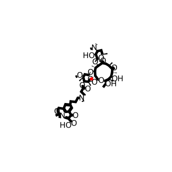 CC[C@H]1OC(=O)[C@H](C)[C@@H](O[C@H]2C[C@@](C)(OC)[C@@H](OC(=O)CCN(C)CCCc3cc4c5c(c3)c(=O)c(C(=O)O)cn5C(C)(C)OC4)[C@H](C)O2)[C@H](C)[C@@H](O[C@@H]2O[C@H](C)C[C@H](N(C)C)[C@H]2O)[C@](C)(OC)C[C@@H](C)C(=O)[C@H](C)[C@@H](O)[C@]1(C)O